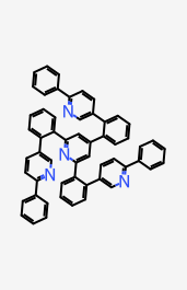 c1ccc(-c2ccc(-c3ccccc3-c3cc(-c4ccccc4-c4ccc(-c5ccccc5)nc4)nc(-c4ccccc4-c4ccc(-c5ccccc5)nc4)c3)cn2)cc1